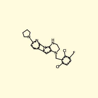 Fc1ccc(Cl)c(CN2CCNc3c2cc2n3-c3nc(N4CCCC4)ccc3-2)c1Cl